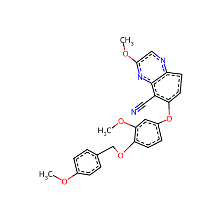 COc1ccc(COc2ccc(Oc3ccc4ncc(OC)nc4c3C#N)cc2OC)cc1